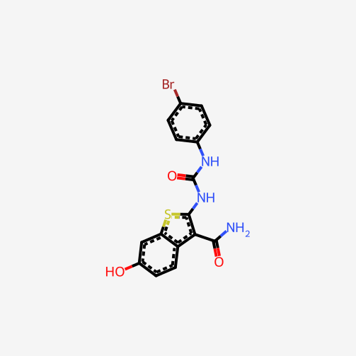 NC(=O)c1c(NC(=O)Nc2ccc(Br)cc2)sc2cc(O)ccc12